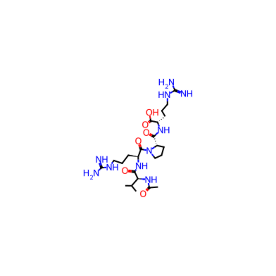 CC(=O)N[C@H](C(=O)N[C@@H](CCCNC(=N)N)C(=O)N1CCC[C@H]1C(=O)N[C@@H](CCCNC(=N)N)C(=O)O)C(C)C